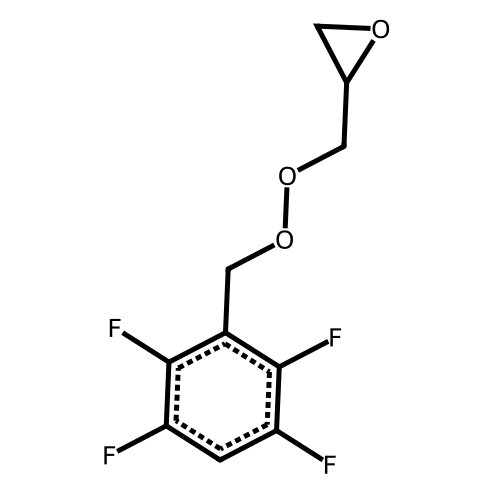 Fc1cc(F)c(F)c(COOCC2CO2)c1F